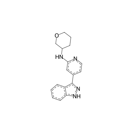 c1ccc2c(-c3ccnc(NC4CCCOC4)c3)n[nH]c2c1